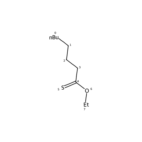 CCCCCCCC(=S)OCC